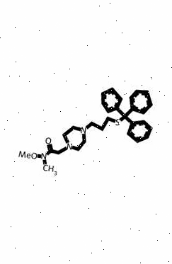 CON(C)C(=O)CN1CCN(CCCSC(c2ccccc2)(c2ccccc2)c2ccccc2)CC1